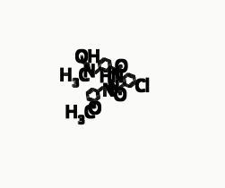 COc1cccc(C=NNC(=O)c2cc(Cl)ccc2NC(=O)c2cccc(CN(C)CCO)c2)c1